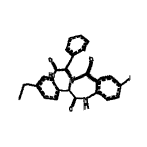 CCc1ccc(C2C(=O)Nc3ccc(I)cc3C(=O)N2C(C(=O)O)c2ccccc2)cc1